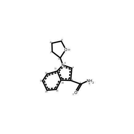 NC(=O)c1cn(C2CCCO2)c2ccccc12